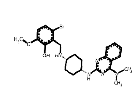 COc1ccc(Br)c(CN[C@H]2CC[C@@H](Nc3nc(N(C)C)c4ccccc4n3)CC2)c1O